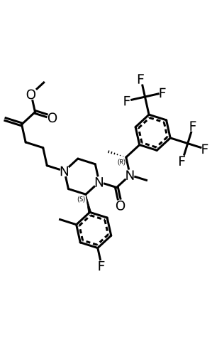 C=C(CCCN1CCN(C(=O)N(C)[C@H](C)c2cc(C(F)(F)F)cc(C(F)(F)F)c2)[C@@H](c2ccc(F)cc2C)C1)C(=O)OC